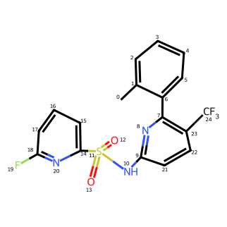 Cc1ccccc1-c1nc(NS(=O)(=O)c2cccc(F)n2)ccc1C(F)(F)F